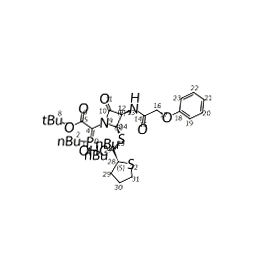 CCCCP(CCCC)(CCCC)=C(C(=O)OC(C)(C)C)N1C(=O)[C@@H](NC(=O)COc2ccccc2)[C@H]1SC(C=O)[C@@H]1CCCS1